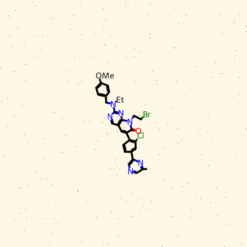 CCN(Cc1ccc(OC)cc1)c1ncc2cc(-c3ccc(-c4cncc(C)n4)cc3Cl)c(=O)n(CCBr)c2n1